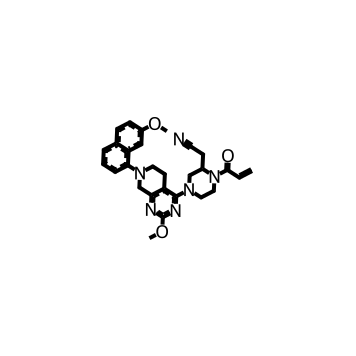 C=CC(=O)N1CCN(c2nc(OC)nc3c2CCN(c2cccc4ccc(OC)cc24)C3)CC1CC#N